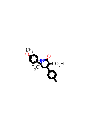 Cc1ccc(C2=C(C(=O)O)C(=O)N[C@@](c3ccc(OC(F)(F)F)cc3)(C(F)(F)F)C2)cc1